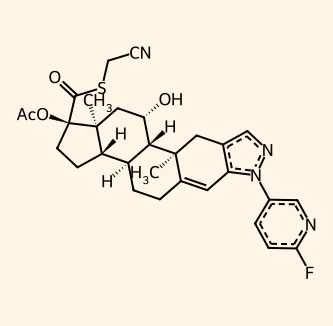 CC(=O)O[C@]1(C(=O)SCC#N)CC[C@H]2[C@@H]3CCC4=Cc5c(cnn5-c5ccc(F)nc5)C[C@]4(C)[C@H]3[C@@H](O)C[C@@]21C